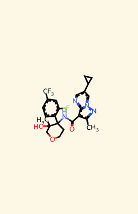 Cc1nn2cc(C3CC3)cnc2c1C(=O)NC1(c2ccc(C(F)(F)F)cc2F)CCOCC1(C)O